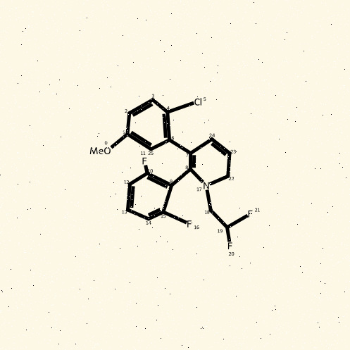 COc1ccc(Cl)c(C2=C(c3c(F)cccc3F)N(CC(F)F)CC=C2)c1